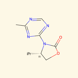 Cc1ncnc(N2C(=O)OC[C@@H]2C(C)C)n1